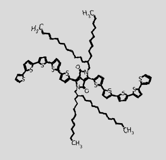 CCCCCCCCCCCCC(CCCCCCCCCC)CN1C(=O)C2=C(c3ccc(-c4ccc(-c5ccc(-c6ccc(-c7cccs7)s6)s5)s4)s3)N(CC(CCCCCCCCCC)CCCCCCCCCCCC)C(=O)C2=C1c1ccc(-c2ccc(-c3ccc(-c4ccc(-c5cccs5)s4)s3)s2)s1